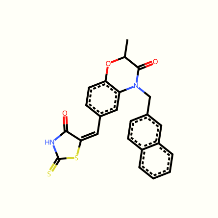 CC1Oc2ccc(C=C3SC(=S)NC3=O)cc2N(Cc2ccc3ccccc3c2)C1=O